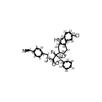 CN(Cc1ccc(C#N)cc1)C(=O)C(F)(C1CCc2c([nH]c3ccc(Cl)cc23)C1)S(=O)(=O)c1ccccc1